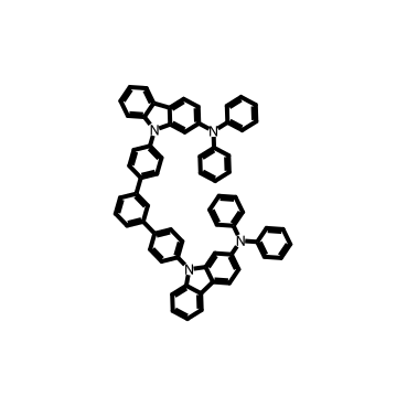 c1ccc(N(c2ccccc2)c2ccc3c4ccccc4n(-c4ccc(-c5cccc(-c6ccc(-n7c8ccccc8c8ccc(N(c9ccccc9)c9ccccc9)cc87)cc6)c5)cc4)c3c2)cc1